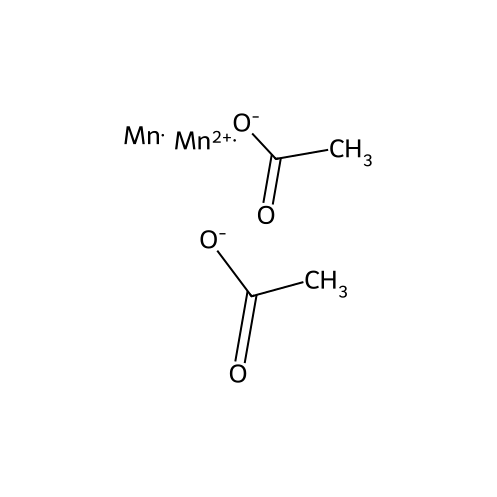 CC(=O)[O-].CC(=O)[O-].[Mn+2].[Mn]